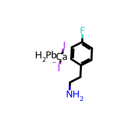 NCCc1ccc(F)cc1.[I][Ca][I].[PbH2]